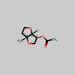 B[C@@]12CCO[C@@H]1[C@@H](OC(C)=O)CO2